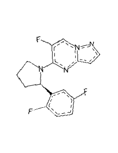 Fc1ccc(F)c([C@H]2CCCN2c2nc3ccnn3cc2F)c1